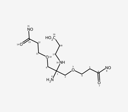 NC(COCCC(=O)N=O)(COCCC(=O)N=O)NCCC(=O)O